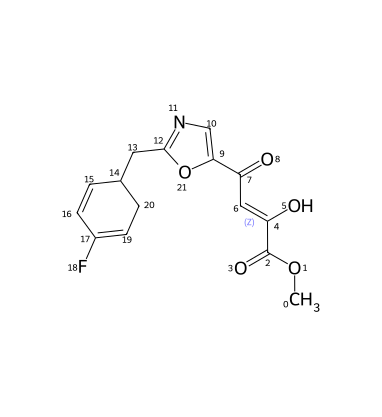 COC(=O)/C(O)=C/C(=O)c1cnc(CC2C=CC(F)=CC2)o1